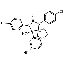 N#Cc1cccc(C2(O)N(c3ccc(Cl)cc3)C(=O)N(c3ccc(Cl)cc3)[C@]23CCOC3)c1